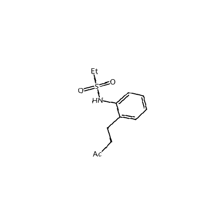 CCS(=O)(=O)Nc1ccccc1CCC(C)=O